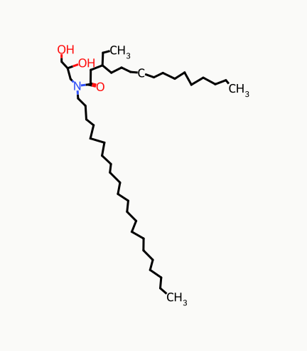 CCCCCCCCCCCCCCCCCCCCCCN(CC(O)CO)C(=O)CC(CC)CCCCCCCCCCCCC